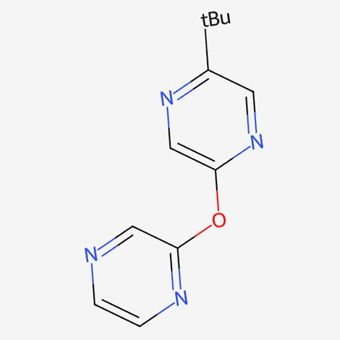 CC(C)(C)c1cnc(Oc2cnccn2)cn1